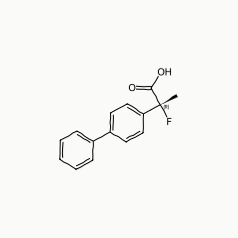 C[C@](F)(C(=O)O)c1ccc(-c2ccccc2)cc1